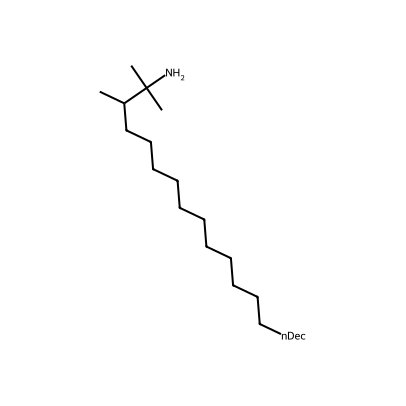 CCCCCCCCCCCCCCCCCCCCCC(C)C(C)(C)N